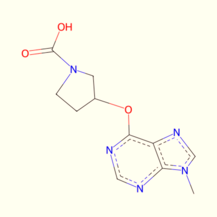 Cn1cnc2c(OC3CCN(C(=O)O)C3)ncnc21